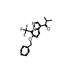 CC(C)C(=O)c1cnn2c(C(F)(F)F)c(OCc3ccccc3)ccc12